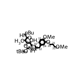 CCCCNC(=O)[C@H](C)C[C@H](O)[C@H](C[C@H](Cc1ccc(OC)c(OCCCOC)c1)C(C)C)NC(=O)OC(C)(C)C